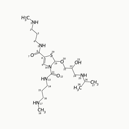 CNCCCNC(=O)C1=CN(C(=O)NCCCNC)C(OCC(O)CNC(C)C)S1